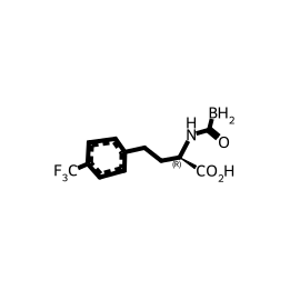 BC(=O)N[C@H](CCc1ccc(C(F)(F)F)cc1)C(=O)O